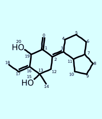 C=C1C(=C2CCCC3CCCC23)CC(C)(O)C(=CC)C1O